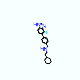 Fc1c(-c2ccc(CNCCC3CCCCC3)cc2)ccc2[nH]cnc12